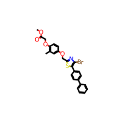 COC(=O)COc1ccc(OCc2nc(Br)c(-c3ccc(-c4ccccc4)cc3)s2)cc1C